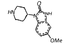 COc1ccc2c(c1)[nH]c(=O)n2C1CCNCC1